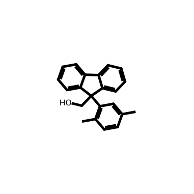 Cc1ccc(C)c(C2(CO)c3ccccc3-c3ccccc32)c1